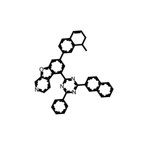 CC1CC=Cc2ccc(-c3cc(-c4nc(-c5ccccc5)nc(-c5ccc6ccccc6c5)n4)c4c(c3)oc3cnccc34)cc21